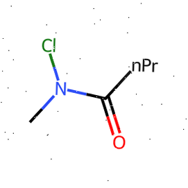 CCCC(=O)N(C)Cl